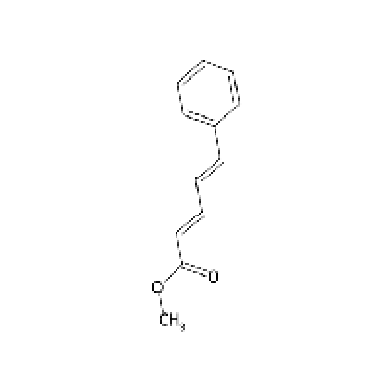 COC(=O)C=CC=Cc1ccccc1